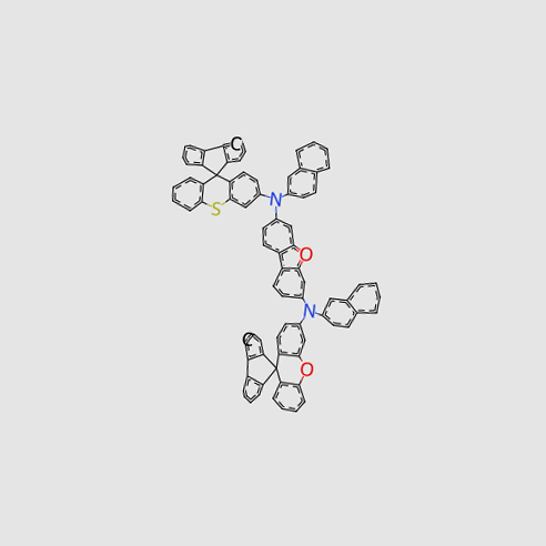 c1ccc2c(c1)Oc1cc(N(c3ccc4ccccc4c3)c3ccc4c(c3)oc3cc(N(c5ccc6c(c5)Sc5ccccc5C65c6ccccc6-c6ccccc65)c5ccc6ccccc6c5)ccc34)ccc1C21c2ccccc2-c2ccccc21